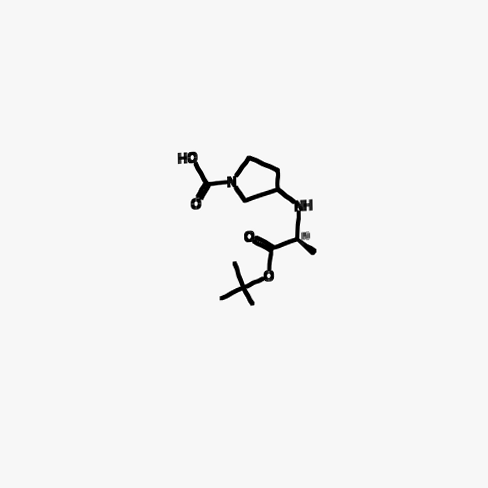 C[C@H](NC1CCN(C(=O)O)C1)C(=O)OC(C)(C)C